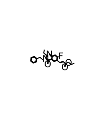 CCOC(=O)/C=C/c1cc2c(=O)n(CCc3ccccc3)c(CC)nc2cc1F